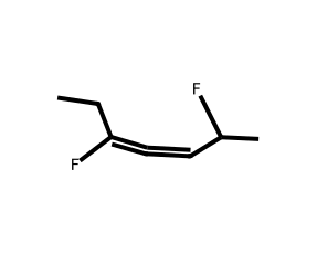 CCC(F)=C=CC(C)F